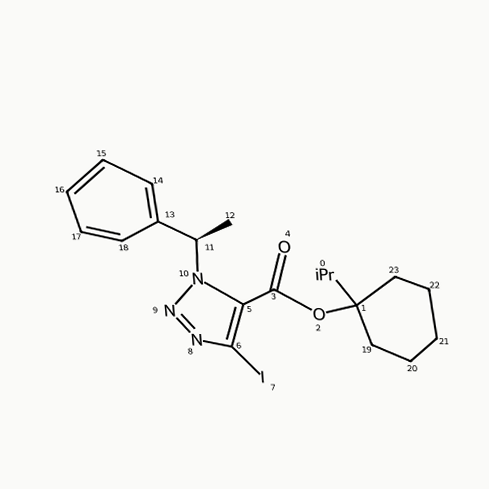 CC(C)C1(OC(=O)c2c(I)nnn2[C@H](C)c2ccccc2)CCCCC1